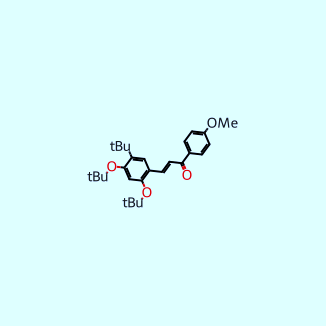 COc1ccc(C(=O)C=Cc2cc(C(C)(C)C)c(OC(C)(C)C)cc2OC(C)(C)C)cc1